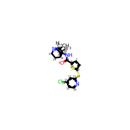 C[C@H]1[C@H](NC(=O)c2ccc(Sc3cc(Cl)ccn3)s2)C2CCN1CC2